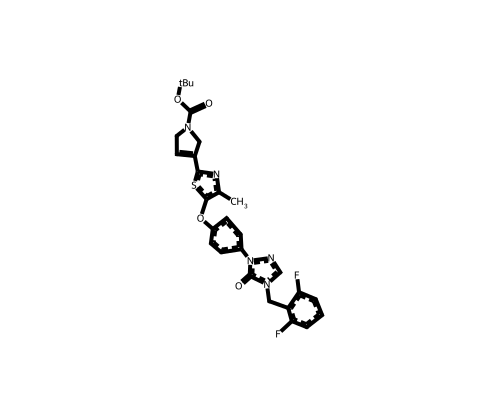 Cc1nc(C2=CCN(C(=O)OC(C)(C)C)C2)sc1Oc1ccc(-n2ncn(Cc3c(F)cccc3F)c2=O)cc1